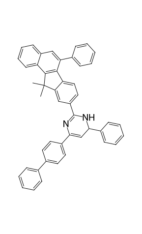 CC1(C)c2cc(C3=NC(c4ccc(-c5ccccc5)cc4)=CC(c4ccccc4)N3)ccc2-c2c(-c3ccccc3)cc3ccccc3c21